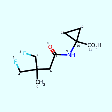 CC(CF)(CF)CC(=O)NC1(C(=O)O)CC1